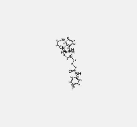 O=C(CCCN1CC[C@H]2[C@@H](C1)c1cccc3c1N2CCCS3)Nc1ccc(F)cc1